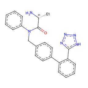 CC[C@@H](N)C(=O)N(Cc1ccc(-c2ccccc2-c2nnn[nH]2)cc1)c1ccccc1